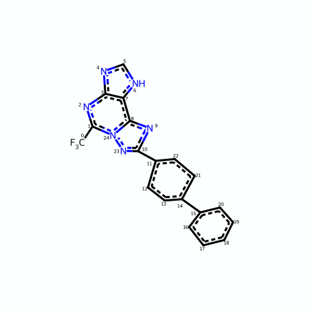 FC(F)(F)c1nc2nc[nH]c2c2nc(-c3ccc(-c4ccccc4)cc3)nn12